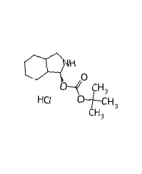 CC(C)(C)OC(=O)O[C@@H]1NCC2CCCCC21.Cl